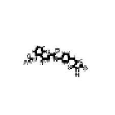 CC(C)C(=O)Oc1cccc2oc(C(=O)Nc3ccc(CC4SC(=O)NC4=O)cc3)cc(=O)c12